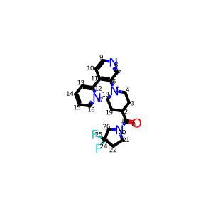 O=C(C1CCN(c2cnccc2-c2ccccn2)CC1)N1CCC(F)(F)C1